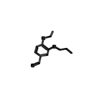 CCCOc1cc(C=O)ccc1OCC